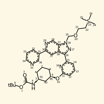 CC(C)(C)OC(=O)N[C@H]1CCC[C@@H](Oc2cccc(-c3nn(COCCS(C)(C)C)c4cnc(-c5cccnc5)cc34)n2)C1